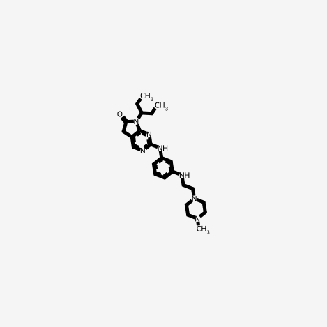 CCC(CC)N1C(=O)Cc2cnc(Nc3cccc(NCCN4CCN(C)CC4)c3)nc21